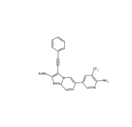 CC(=O)Nc1nc2ccc(-c3cnc(N)c(C(F)(F)F)c3)cn2c1C#Cc1ccccc1